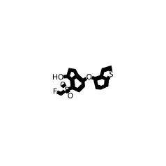 O=S(=O)(CF)c1ccc(Oc2cccc3sccc23)c2c1C(O)CC2